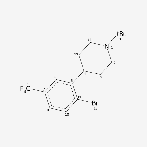 CC(C)(C)N1CCC(c2cc(C(F)(F)F)ccc2Br)CC1